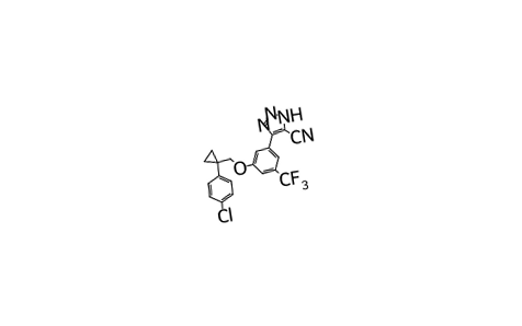 N#Cc1[nH]nnc1-c1cc(OCC2(c3ccc(Cl)cc3)CC2)cc(C(F)(F)F)c1